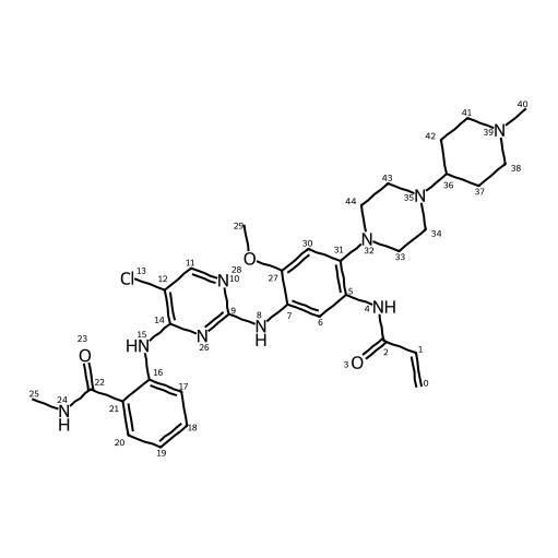 C=CC(=O)Nc1cc(Nc2ncc(Cl)c(Nc3ccccc3C(=O)NC)n2)c(OC)cc1N1CCN(C2CCN(C)CC2)CC1